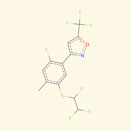 Cc1cc(F)c(-c2cc(C(F)(F)F)on2)cc1SC(F)C(F)F